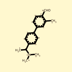 Cc1cc(-c2ccc(C(C)N(C)C)cc2)ccc1C=O